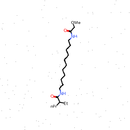 CCCC(CC)C(=O)NCCCCCCCCCCCNC(=O)COC